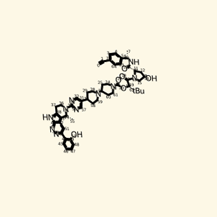 C#Cc1ccc([C@H](C)NC(=O)[C@@H]2C[C@@H](O)CN2C(=O)[C@@H](OC(=O)N2CCC(N3CCC(c4cnc(N5CCc6[nH]c7nnc(-c8ccccc8O)cc7c6[C@H]5C)nc4)CC3)CC2)C(C)(C)C)cc1